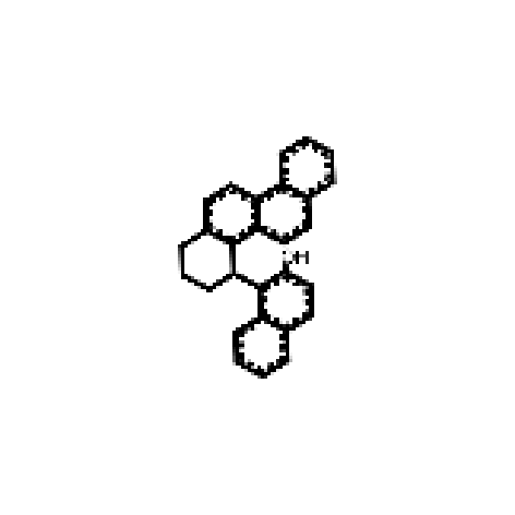 Oc1ccc2ccccc2c1C1CCCc2ccc3c(ccc4ccccc43)c21